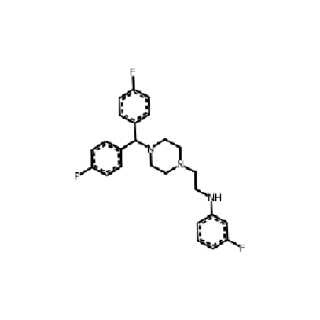 Fc1ccc(C(c2ccc(F)cc2)N2CCN(CCNc3cccc(F)c3)CC2)cc1